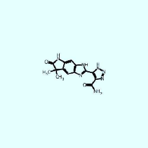 CC1(C)C(=O)Nc2cc3[nH]c(-c4[nH]nnc4C(N)=O)nc3cc21